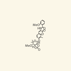 COc1ccccc1C(=O)Nc1cc2ccc(O[C@@H]3OC(C)(C)[C@H](OC)[C@H]4OC(=O)O[C@@H]34)c(C)c2oc1=O